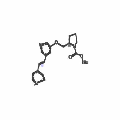 CC(C)(C)OC(=O)N1CCC[C@@H]1COc1cncc(/C=C/c2ccncc2)c1